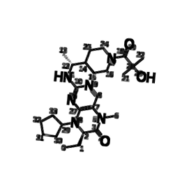 CC[C@@H]1C(=O)N(C)c2cnc(N[C@H](C)C3CCN(C(=O)C(C)(C)O)CC3)nc2N1C1CCCC1